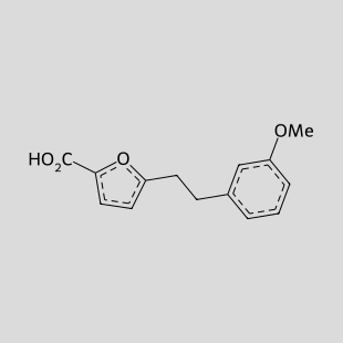 COc1cccc(CCc2ccc(C(=O)O)o2)c1